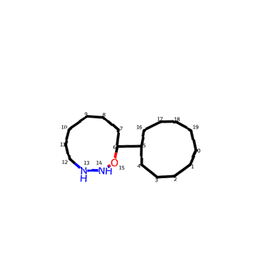 C1CCCCC(C2CCCCCCNNO2)CCCC1